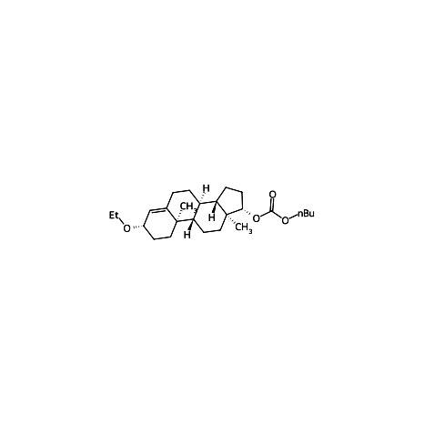 CCCCOC(=O)O[C@H]1CC[C@H]2[C@@H]3CCC4=C[C@@H](OCC)CC[C@]4(C)[C@H]3CC[C@]12C